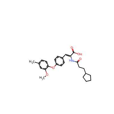 COc1cc(C)ccc1Oc1ccc(C=C(NC(=O)CCC2CCCC2)C(=O)O)cc1